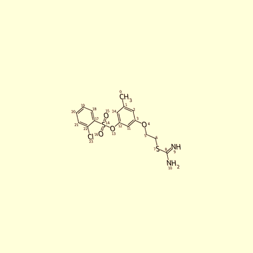 Cc1cc(OCCSC(=N)N)cc(OS(=O)(=O)c2ccccc2Cl)c1